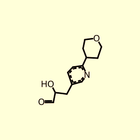 O=CC(O)Cc1ccc(C2CCOCC2)nc1